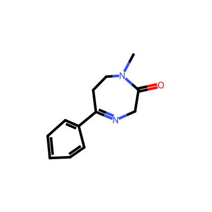 CN1CCC(c2ccccc2)=NCC1=O